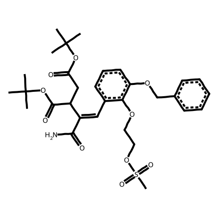 CC(C)(C)OC(=O)CC(C(=O)OC(C)(C)C)/C(=C\c1cccc(OCc2ccccc2)c1OCCOS(C)(=O)=O)C(N)=O